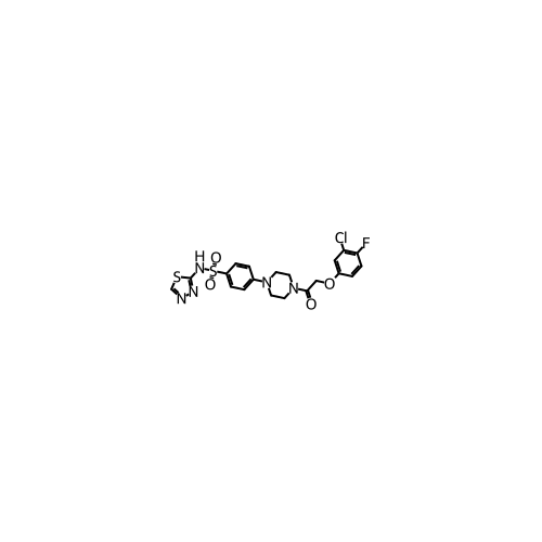 O=C(COc1ccc(F)c(Cl)c1)N1CCN(c2ccc(S(=O)(=O)Nc3nncs3)cc2)CC1